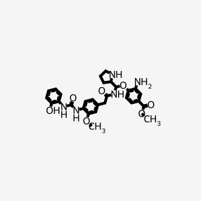 COC(=O)c1ccc(OC(NC(=O)Cc2ccc(NC(=O)Nc3ccccc3O)c(OC)c2)C2CCCN2)c(N)c1